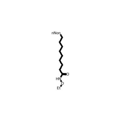 CCCCCCCCCCCCCCCCCC(=O)NOCC